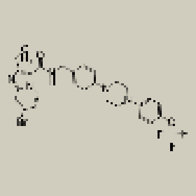 CCc1nc2cc(Br)ccn2c1C(=O)NCC1=CCC(N2CCN(c3ccc(OC(F)(F)F)cc3)CC2)C=C1